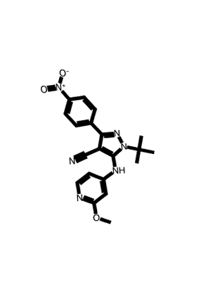 COc1cc(Nc2c(C#N)c(-c3ccc([N+](=O)[O-])cc3)nn2C(C)(C)C)ccn1